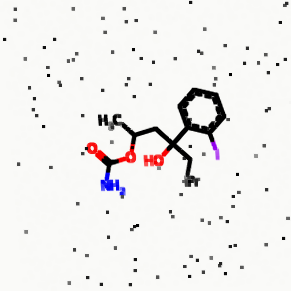 CC(C)CC(O)(CC(C)OC(N)=O)c1ccccc1I